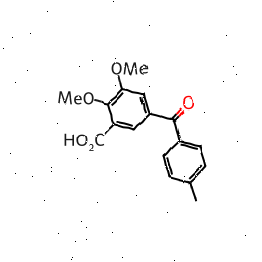 COc1cc(C(=O)c2ccc(C)cc2)cc(C(=O)O)c1OC